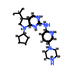 CC(C)C1CN(C2CCCC2)c2nc(Nc3ccc(N4CCNCC4)cn3)ncc21